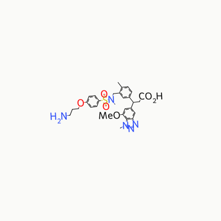 COc1cc(C(CC(=O)O)c2ccc(C)c(CN(C)S(=O)(=O)c3ccc(OCCCN)cc3)c2)cc2nnn(C)c12